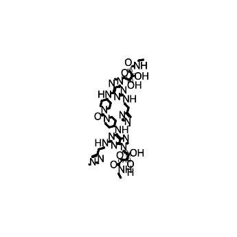 CCNC(=O)[C@H]1O[C@@H](n2cnc3c(NC4CCN(C(=O)N5CCC(Nc6nc(NCCc7cn(C)cn7)nc7c6ncn7[C@@H]6O[C@H](C(=O)NCC)[C@@H](O)[C@H]6O)CC5)CC4)nc(NCCc4cn(C)cn4)nc32)[C@H](O)[C@@H]1O